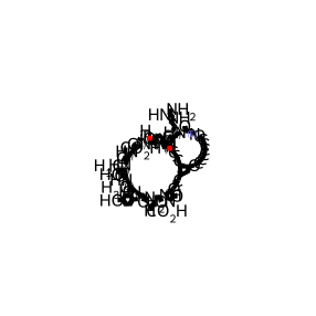 CC(C)C[C@@H]1NC(=O)[C@@H]2CCCN2C(=O)[C@@H]2CSCc3cc(cc(c3)OCCCCCCO/N=C/C(=O)N[C@@H](CCCNC(=N)N)C(=O)N2)CSC[C@@H](C(N)=O)NC(=O)[C@H](CCC(=O)O)NC(=O)[C@H](Cc2ccc(O)cc2)NC(=O)[C@H](C)NC(=O)[C@H]([C@@H](C)O)NC(=O)[C@H](CC(=O)O)NC1=O